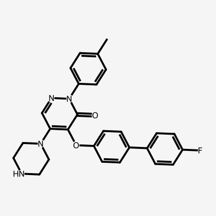 Cc1ccc(-n2ncc(N3CCNCC3)c(Oc3ccc(-c4ccc(F)cc4)cc3)c2=O)cc1